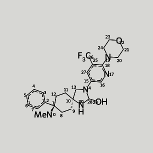 CN[C@]1(c2ccccc2)CC[C@]2(CC1)CN(c1cnc(N3CCOCC3)c(C(F)(F)F)c1)C(O)N2